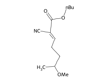 CCCCOC(=O)C(C#N)=CCCC(C)OC